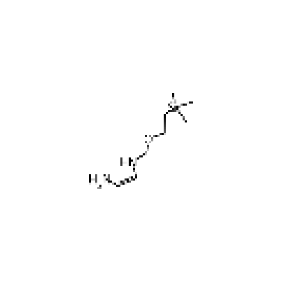 C[Si](C)(C)CCOCN/C=C\N